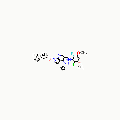 COc1cc(OC)c(Cl)c(NCc2cnc3c(ccn3COCC[Si](C)(C)C)c2NC2=CC=C2)c1F